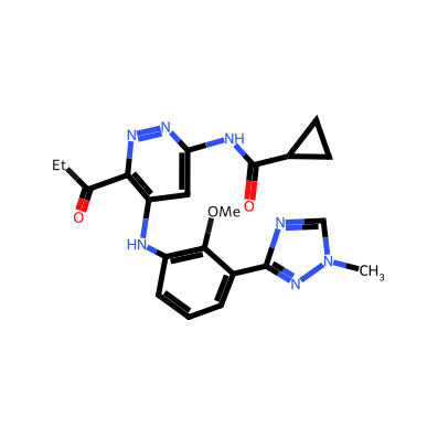 CCC(=O)c1nnc(NC(=O)C2CC2)cc1Nc1cccc(-c2ncn(C)n2)c1OC